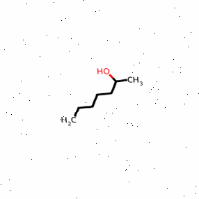 [CH2]CCCCC(C)O